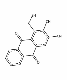 N#Cc1cc2c(c(SS)c1C#N)C(=O)c1ccccc1C2=O